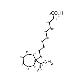 NC(=O)C1(CCCCCCCCCC(=O)O)CCCCCC1